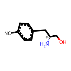 N#Cc1ccc(C[C@@H](N)CO)cc1